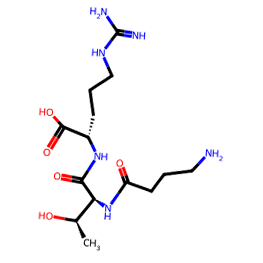 C[C@@H](O)[C@H](NC(=O)CCCN)C(=O)N[C@@H](CCCNC(=N)N)C(=O)O